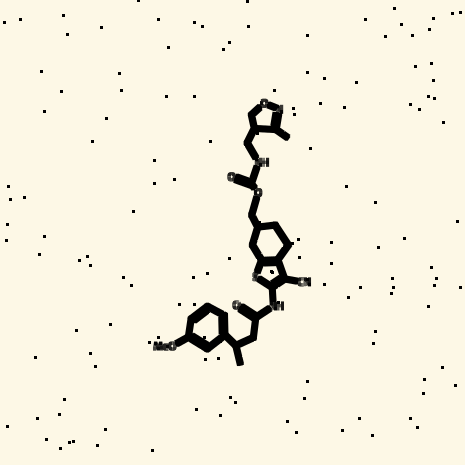 COc1cccc(C(C)CC(=O)Nc2sc3c(c2C#N)CCC(COC(=O)NCC2CON=C2C)C3)c1